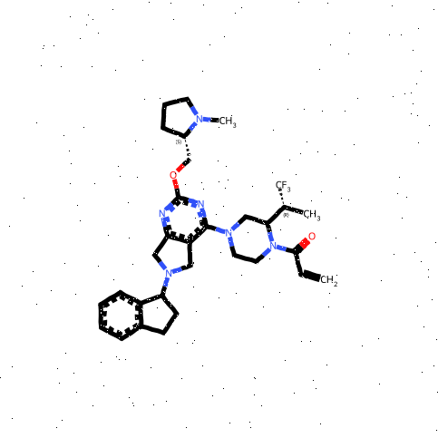 C=CC(=O)N1CCN(c2nc(OC[C@@H]3CCCN3C)nc3c2CN(C2CCc4ccccc42)C3)CC1[C@@H](C)C(F)(F)F